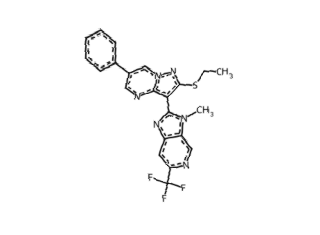 CCSc1nn2cc(-c3ccccc3)cnc2c1-c1nc2cc(C(F)(F)F)ncc2n1C